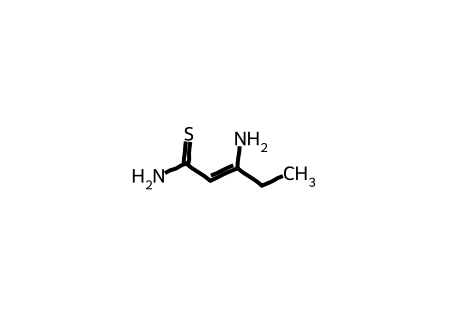 CC/C(N)=C/C(N)=S